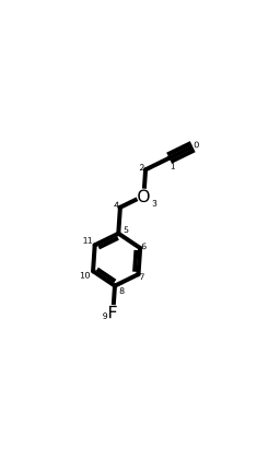 C#CCOCc1ccc(F)cc1